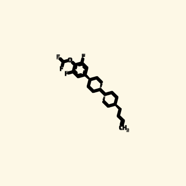 C=CCC[C@H]1CC[C@H]([C@H]2CC[C@H](c3cc(F)c(OC(F)F)c(F)c3)CC2)CC1